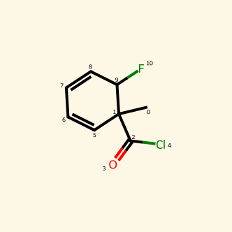 CC1(C(=O)Cl)C=CC=CC1F